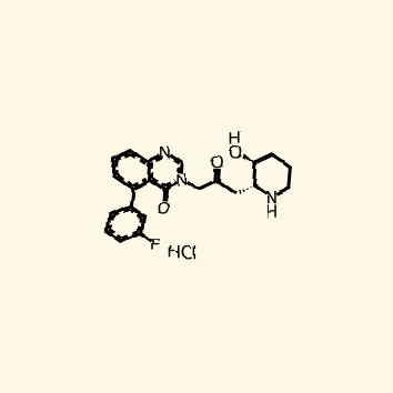 Cl.O=C(C[C@H]1NCCC[C@@H]1O)Cn1cnc2cccc(-c3cccc(F)c3)c2c1=O